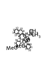 COc1ccc([C@@H]2Sc3c(ccc4ccccc34)N(CCN(C)C)C(=O)[C@@H]2OC(=O)c2ccccc2OC(C)=O)cc1